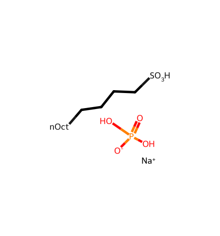 CCCCCCCCCCCCS(=O)(=O)O.O=P([O-])(O)O.[Na+]